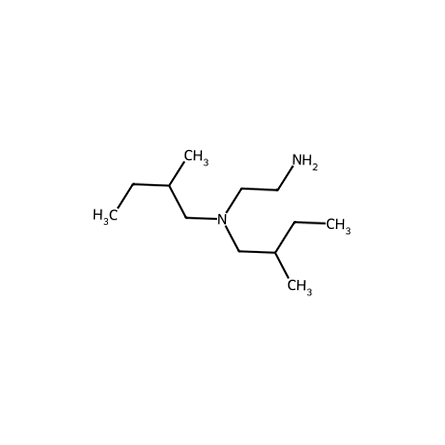 CCC(C)CN(CCN)CC(C)CC